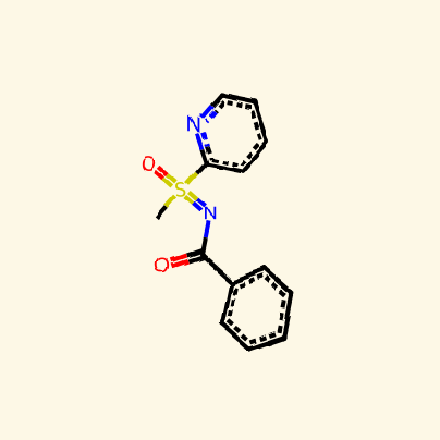 CS(=O)(=NC(=O)c1ccccc1)c1ccccn1